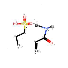 C=CC(=O)N(CC)CC.CCCS(=O)(=O)O